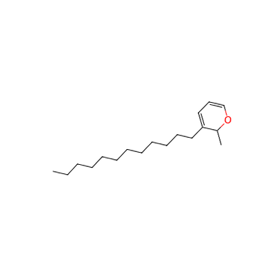 CCCCCCCCCCCCC1=CC=COC1C